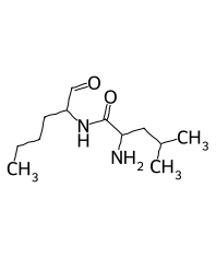 CCCCC(C=O)NC(=O)C(N)CC(C)C